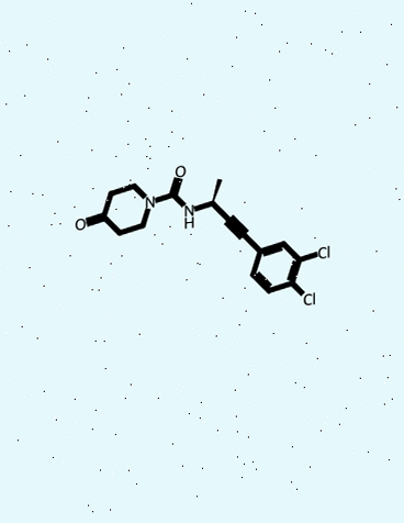 C[C@@H](C#Cc1ccc(Cl)c(Cl)c1)NC(=O)N1CCC(=O)CC1